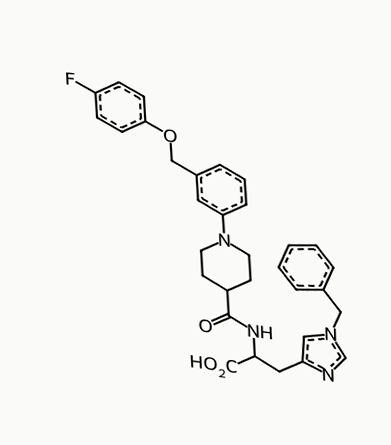 O=C(NC(Cc1cn(Cc2ccccc2)cn1)C(=O)O)C1CCN(c2cccc(COc3ccc(F)cc3)c2)CC1